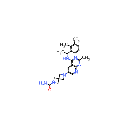 Cc1nc(NC(C)c2cccc(C(F)(F)F)c2C)c2cc(N3CC4(CN(C(N)=O)C4)C3)cnc2n1